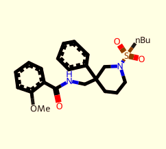 CCCCS(=O)(=O)N1CCCC(CNC(=O)c2ccccc2OC)(c2ccccc2)C1